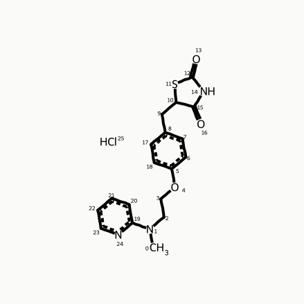 CN(CCOc1ccc(CC2SC(=O)NC2=O)cc1)c1ccccn1.Cl